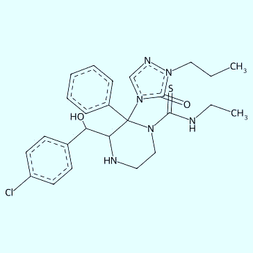 CCCn1ncn(C2(c3ccccc3)C(C(O)c3ccc(Cl)cc3)NCCN2C(=S)NCC)c1=O